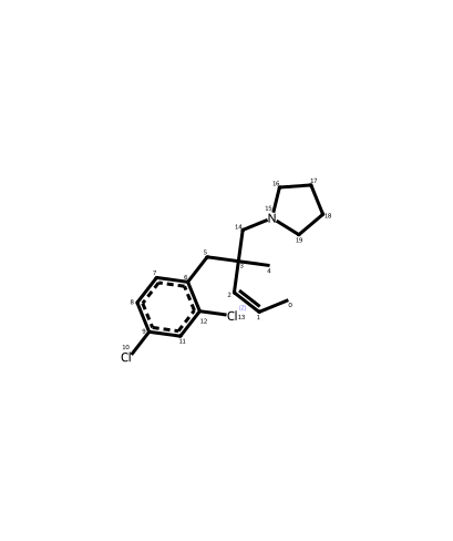 C/C=C\C(C)(Cc1ccc(Cl)cc1Cl)CN1CCCC1